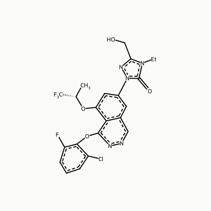 CCn1c(CO)nn(-c2cc(O[C@@H](C)C(F)(F)F)c3c(Oc4c(F)cccc4Cl)nncc3c2)c1=O